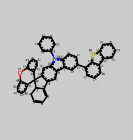 C1=CCC2C(=C1)c1cc3c4cc(-c5cccc6c5sc5ccccc56)ccc4n(-c4ccccc4)c3cc1C21c2ccccc2Oc2ccccc21